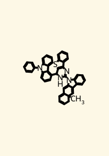 CC12C=c3c(n(C4=Nc5c(sc6ccccc56)C(c5cccc6c5c5ccccc5n6-c5ccccc5)N4)c4ccccc34)=CC1=CC=CC2